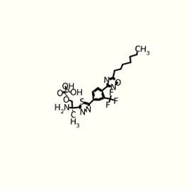 CCCCCCCc1nc(-c2ccc(-c3nnc([C@@](C)(N)COP(=O)(O)O)s3)cc2C(F)(F)F)no1